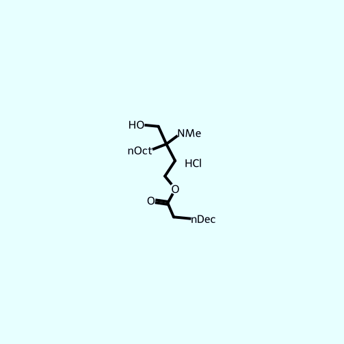 CCCCCCCCCCCC(=O)OCCC(CO)(CCCCCCCC)NC.Cl